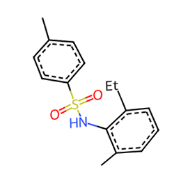 CCc1cccc(C)c1NS(=O)(=O)c1ccc(C)cc1